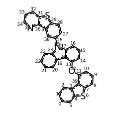 c1ccc2c(c1)sc1cccc(Oc3cccc4c3c3ccccc3n4-c3ccc4sc5cccnc5c4c3)c12